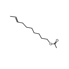 CC=CCCCCCCCOC(C)=O